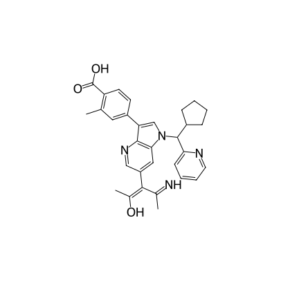 CC(=N)/C(=C(/C)O)c1cnc2c(-c3ccc(C(=O)O)c(C)c3)cn(C(c3ccccn3)C3CCCC3)c2c1